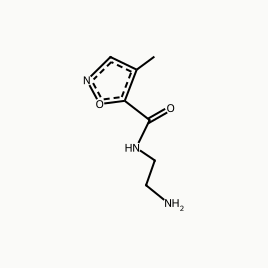 Cc1cnoc1C(=O)NCCN